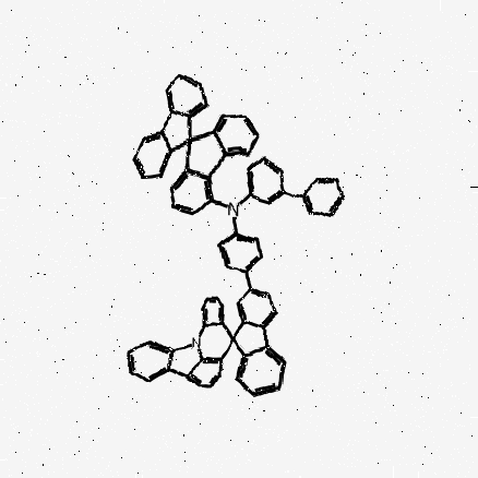 c1ccc(-c2cccc(N(c3ccc(-c4ccc5c(c4)C4(c6ccccc6-5)c5ccccc5-n5c6ccccc6c6cccc4c65)cc3)c3cccc4c3-c3ccccc3C43c4ccccc4-c4ccccc43)c2)cc1